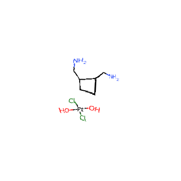 NCC1CCC1CN.[OH][Pt]([OH])([Cl])[Cl]